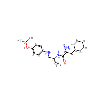 C[C@@H](CNc1ccc(OC(F)F)cc1)NC(=O)[C@@H](N)CC1CCCCC1